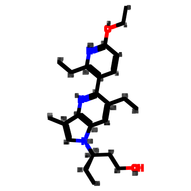 CCOc1ccc(-c2nc3c(C)cn([C@H](CC)CCO)c3cc2CC)c(CC)n1